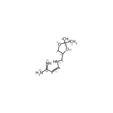 CC1(C)OCC(CN/C=C\C(=N)N)O1